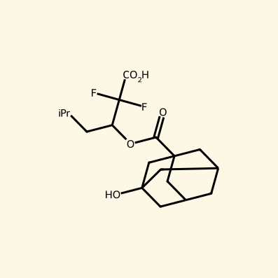 CC(C)CC(OC(=O)C12CC3CC(CC(O)(C3)C1)C2)C(F)(F)C(=O)O